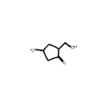 NC1CC(=O)C(CO)C1